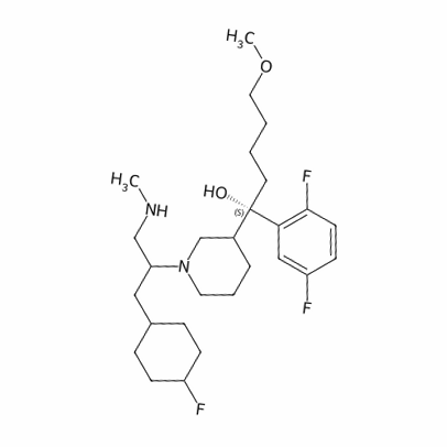 CNCC(CC1CCC(F)CC1)N1CCCC([C@@](O)(CCCCOC)c2cc(F)ccc2F)C1